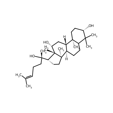 CC(C)=CCC[C@](C)(O)[C@H]1CC[C@]2(C)[C@@H]3CCC4C(C)(C)[C@@H](O)CC[C@]4(C)[C@H]3C[C@@H](O)[C@@]12C